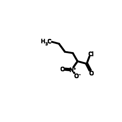 CCCCC(C(=O)Cl)[N+](=O)[O-]